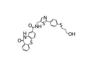 O=C(NCc1cnc(-c2ccc(SCCCO)cc2)s1)c1ccc2c(c1)NC(=O)c1ccccc1S2